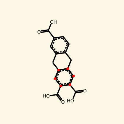 O=C(O)c1ccc2c(c1)C1c3ccc(C(=O)O)cc3C2c2cc(C(=O)O)ccc21